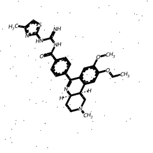 CCOc1cc2c(cc1OC)C(c1ccc(C(=O)NC(=N)Nc3nc(C)cs3)cc1)=N[C@@H]1CCN(C)C[C@H]21